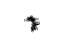 CC#CC1(F)C(O)[C@@H]([C@H](C)OP(=O)(O)OP(=O)(O)OP(=O)(O)O)O[C@H]1n1ccc(=O)[nH]c1=O